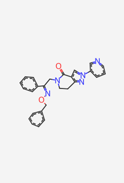 O=C1c2cn(-c3cccnc3)nc2CCN1CC(=NOCc1ccccc1)c1ccccc1